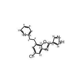 Clc1cc(CCc2ccccn2)c2oc(-c3cn[nH]c3)nc2c1